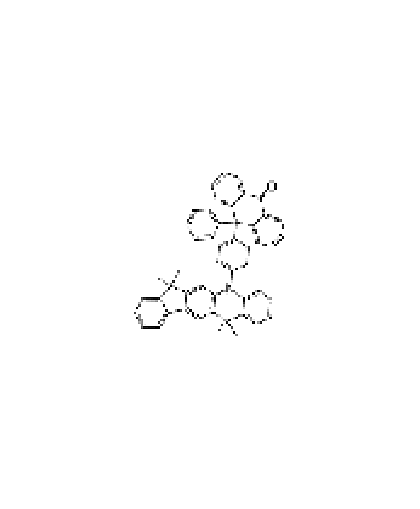 CC1(C)c2ccccc2-c2cc3c(cc21)N(c1ccc(C2(c4ccccc4)c4ccccc4C(=O)c4ccccc42)cc1)c1ccccc1C3(C)C